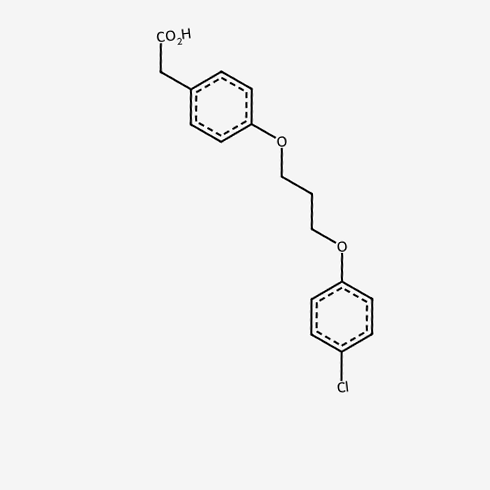 O=C(O)Cc1ccc(OCCCOc2ccc(Cl)cc2)cc1